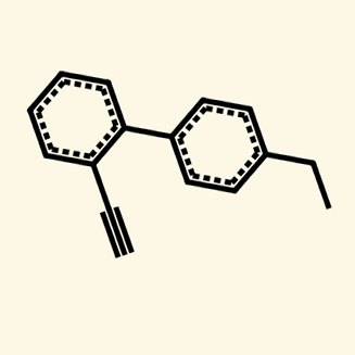 C#Cc1ccccc1-c1ccc(CC)cc1